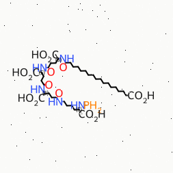 O=C(O)CCCCCCCCCCCCCCCCC(=O)N[C@@H](CCC(=O)N[C@@H](CCC(=O)N[C@@H](CCC(=O)NCCCC[C@H](NP)C(=O)O)C(=O)O)C(=O)O)C(=O)O